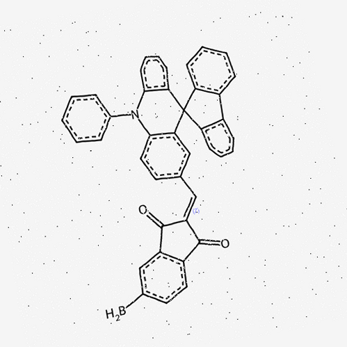 Bc1ccc2c(c1)C(=O)/C(=C\c1ccc3c(c1)C1(c4ccccc4-c4ccccc41)c1ccccc1N3c1ccccc1)C2=O